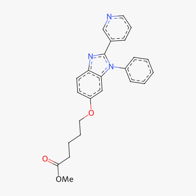 COC(=O)CCCCOc1ccc2nc(-c3cccnc3)n(-c3ccccc3)c2c1